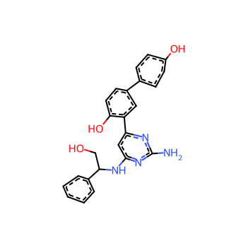 Nc1nc(NC(CO)c2ccccc2)cc(-c2cc(-c3ccc(O)cc3)ccc2O)n1